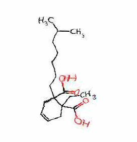 CCC1(C(=O)O)CC=CCC1(CCCCCC(C)C)C(=O)O